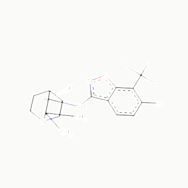 CC1(C)[C@H](Nc2noc3c(C(F)(F)F)c(Cl)ccc23)C2CCN1CC2